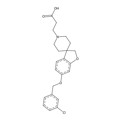 O=C(O)CCN1CCC2(CC1)COc1cc(OCc3cccc(Cl)c3)ccc12